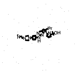 CC(C)c1cc2cnc(Nc3ccc(N4CCN(CCN(C)C)CC4)cc3)nc2n1-c1cccc(C(C)(C)O)n1